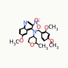 COc1ccc(CN(c2c([N+](=O)[O-])cnc3ccc(OC)cc23)C2CCOC(C)C2)c(OC)c1